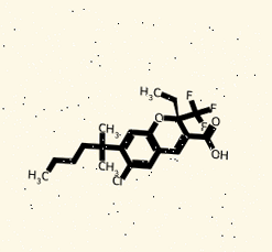 CCCCC(C)(C)c1cc2c(cc1Cl)C=C(C(=O)O)[C@@](CC)(C(F)(F)F)O2